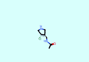 CC(=O)NC[C@@H]1CNC[C@H]1Cl